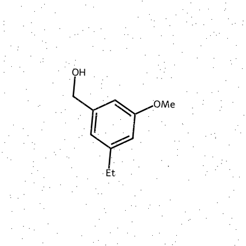 CCc1cc(CO)cc(OC)c1